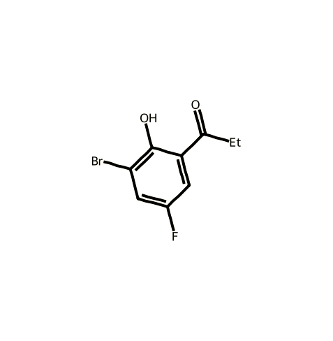 CCC(=O)c1cc(F)cc(Br)c1O